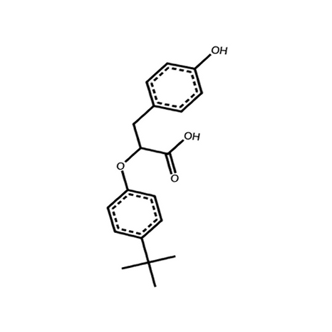 CC(C)(C)c1ccc(OC(Cc2ccc(O)cc2)C(=O)O)cc1